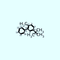 [CH2]c1ccc(C(C)(C)C)cc1-c1ccccc1